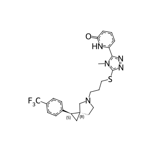 Cn1c(SCCCN2CC[C@@]3(C[C@H]3c3ccc(C(F)(F)F)cc3)C2)nnc1-c1cccc(=O)[nH]1